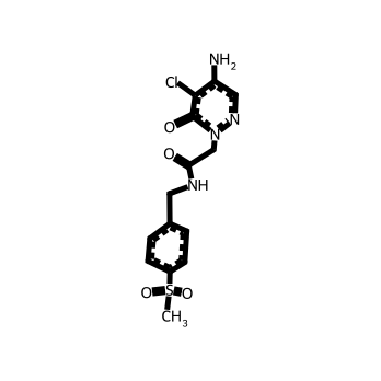 CS(=O)(=O)c1ccc(CNC(=O)Cn2ncc(N)c(Cl)c2=O)cc1